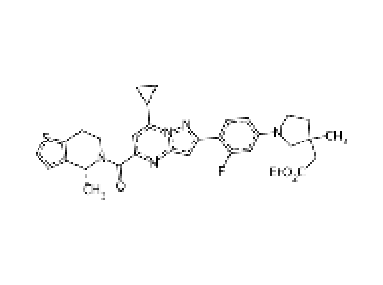 CCOC(=O)CC1(C)CCN(c2ccc(-c3cc4nc(C(=O)N5CCc6sccc6[C@H]5C)cc(C5CC5)n4n3)c(F)c2)C1